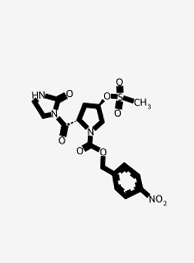 CS(=O)(=O)O[C@@H]1C[C@@H](C(=O)N2CCNC2=O)N(C(=O)OCc2ccc([N+](=O)[O-])cc2)C1